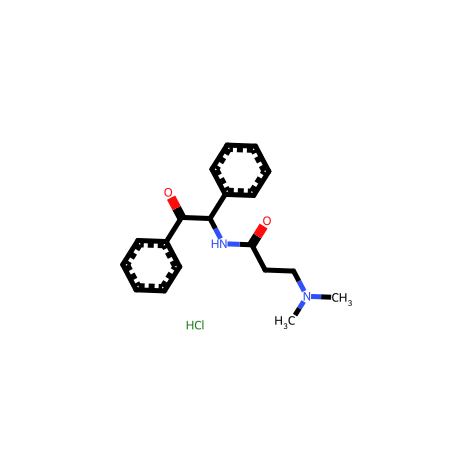 CN(C)CCC(=O)NC(C(=O)c1ccccc1)c1ccccc1.Cl